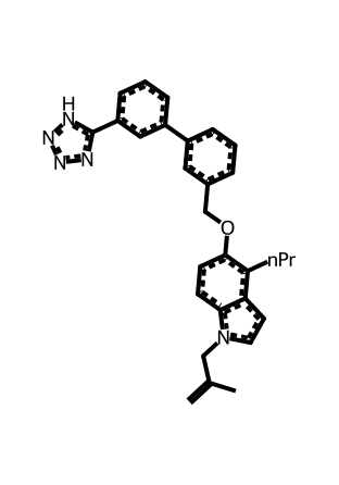 C=C(C)Cn1ccc2c(CCC)c(OCc3cccc(-c4cccc(-c5nnn[nH]5)c4)c3)ccc21